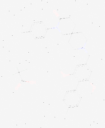 CCOc1cc(CN2CCC3(CCC(=O)N(c4ccc(C(=O)O)cc4)C3)CC2)cc(OCC)c1-c1ccc(F)cc1.O=C(O)C(F)(F)F